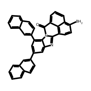 Bc1ccc2c3c1cccc3c(=O)n1c2nc2cc(-c3ccc4ccccc4c3)cc(-c3ccc4ccccc4c3)c21